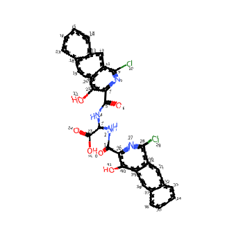 O=C(NC(NC(=O)c1nc(Cl)c2cc3ccccc3cc2c1O)C(=O)O)c1nc(Cl)c2cc3ccccc3cc2c1O